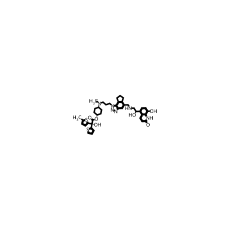 Cc1ccc([C@@](O)(C(=O)O[C@H]2CC[C@H](N(C)CCCn3nnc4cc(CNC[C@H](O)c5ccc(O)c6[nH]c(=O)ccc56)c5c(c43)CCC5)CC2)c2cccs2)s1